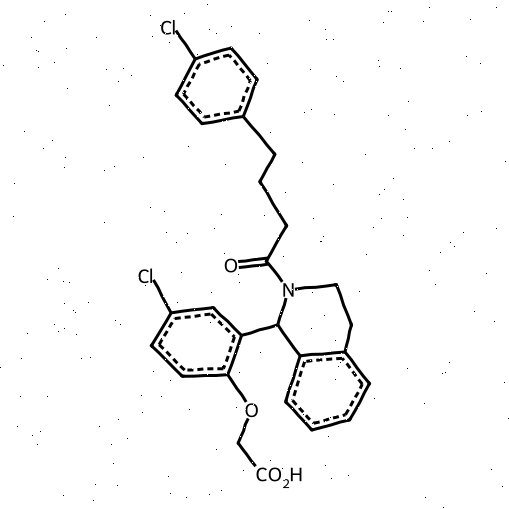 O=C(O)COc1ccc(Cl)cc1C1c2ccccc2CCN1C(=O)CCCc1ccc(Cl)cc1